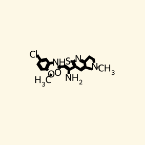 COc1ccc(Cl)cc1NC(=O)c1sc2nc3c(cc2c1N)CN(C)CC3